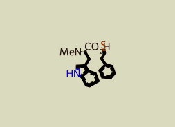 CN[C@@H](Cc1c[nH]c2ccccc12)C(=O)O.S=CCc1ccccc1